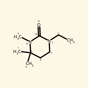 CCN1CCC(C)(C)N(C)C1=O